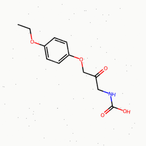 CCOc1ccc(OCC(=O)CNC(=O)O)cc1